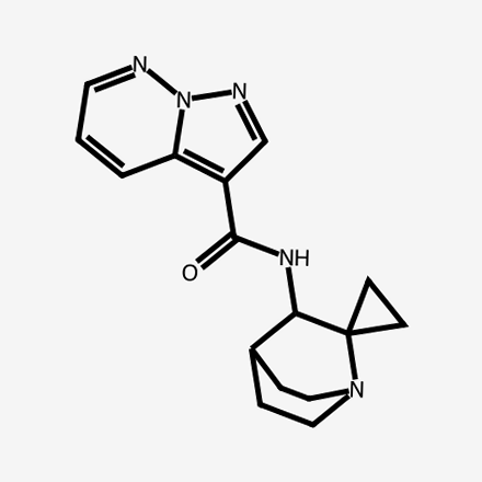 O=C(NC1C2CCN(CC2)C12CC2)c1cnn2ncccc12